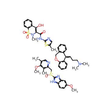 CN(C)CCC=C1c2ccccc2COc2ccccc21.COc1ccc2[nH]c([S+]([O-])Cc3ncc(C)c(OC)c3C)nc2c1.Cc1cnc(NC(=O)C2=C(O)c3ccccc3S(=O)(=O)N2C)s1